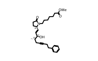 COC(=O)CCCCCCN1C(=O)CC[C@@H]1C=C[C@@H](O)[C@@H](C)CC#CCCc1ccccc1